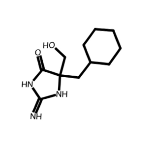 N=C1NC(=O)C(CO)(CC2CCCCC2)N1